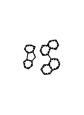 c1ccc2c(-c3cccc4ccccc34)cccc2c1.c1ccc2c(c1)Cc1ccccc1-2